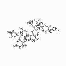 C[C@@H]1CNC[C@H](CCC2C(NC(=O)[C@@H](N)[C@@H](c3ccc(F)cc3)c3cc(F)cc(F)c3)=CN=CC2F)N1S(=O)(=O)c1ccc(OC(F)(F)F)cc1